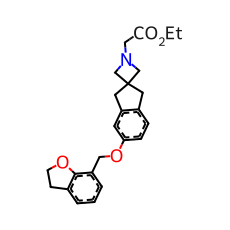 CCOC(=O)CN1CC2(Cc3ccc(OCc4cccc5c4OCC5)cc3C2)C1